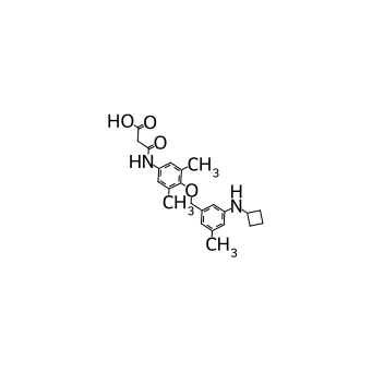 Cc1cc(COc2c(C)cc(NC(=O)CC(=O)O)cc2C)cc(NC2CCC2)c1